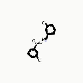 O=S(O/N=C/c1cccc(Cl)c1)c1cccc(Cl)c1